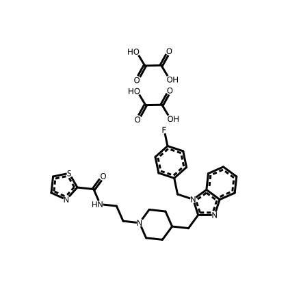 O=C(NCCN1CCC(Cc2nc3ccccc3n2Cc2ccc(F)cc2)CC1)c1nccs1.O=C(O)C(=O)O.O=C(O)C(=O)O